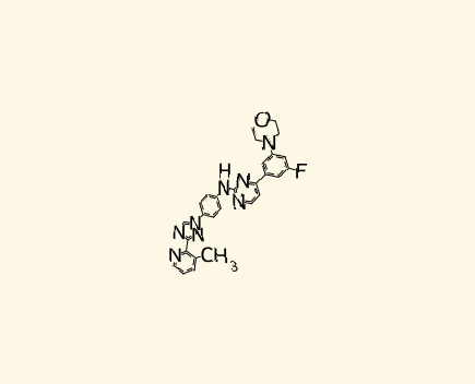 Cc1cccnc1-c1ncn(-c2ccc(Nc3nccc(-c4cc(F)cc(N5CCOCC5)c4)n3)cc2)n1